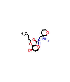 CCCCOc1c(C(=O)NCC2(N)CCCOC2)occc1=O